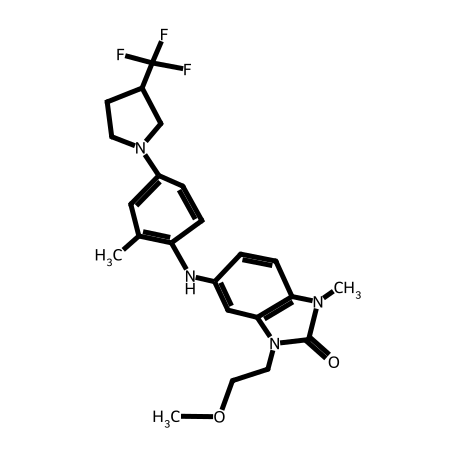 COCCn1c(=O)n(C)c2ccc(Nc3ccc(N4CCC(C(F)(F)F)C4)cc3C)cc21